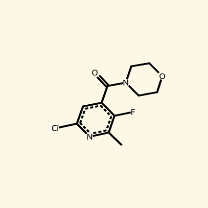 Cc1nc(Cl)cc(C(=O)N2CCOCC2)c1F